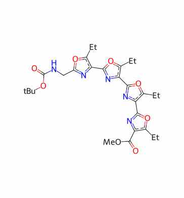 CCc1oc(-c2nc(-c3nc(-c4nc(CNC(=O)OC(C)(C)C)oc4CC)oc3CC)oc2CC)nc1C(=O)OC